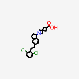 O=C(O)C1CC2(C1)CN(C1CCc3cc(CCc4c(Cl)cccc4Cl)ccc31)C2